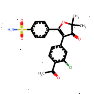 CC(=O)c1ccc(C2=C(c3ccc(S(N)(=O)=O)cc3)OC(C)(C)C2=O)cc1Cl